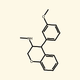 CNC1COc2ccccc2C1c1cccc(OC)c1